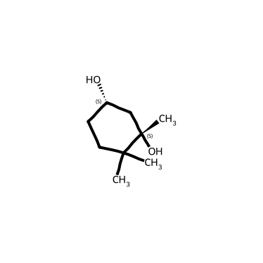 CC1(C)CC[C@H](O)C[C@]1(C)O